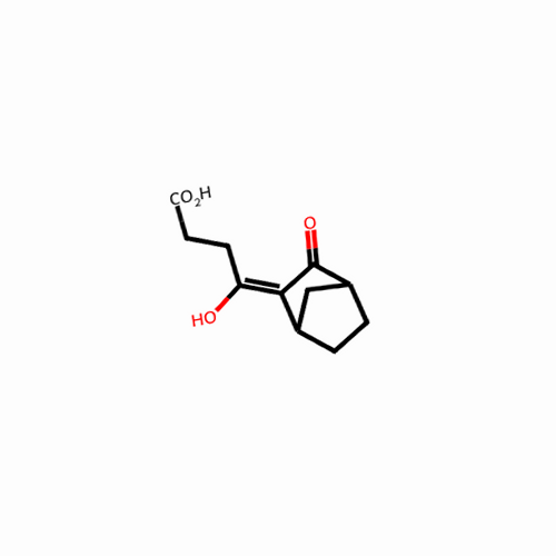 O=C(O)CCC(O)=C1C(=O)C2CCC1C2